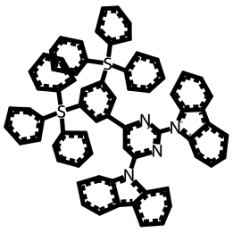 c1ccc(S(c2ccccc2)(c2ccccc2)c2cc(-c3cc(-n4c5ccccc5c5ccccc54)nc(-n4c5ccccc5c5ccccc54)n3)cc(S(c3ccccc3)(c3ccccc3)c3ccccc3)c2)cc1